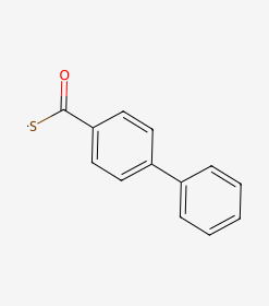 O=C([S])c1ccc(-c2ccccc2)cc1